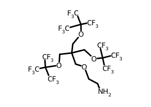 NCCOCC(COC(C(F)(F)F)(C(F)(F)F)C(F)(F)F)(COC(C(F)(F)F)(C(F)(F)F)C(F)(F)F)COC(C(F)(F)F)(C(F)(F)F)C(F)(F)F